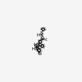 CC(=O)N(CCNCCc1ccccc1)c1ccc(N/C(=C2\C(=O)Nc3cc(Cl)ccc32)c2ccccc2)cc1